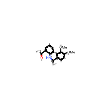 CCCC(=O)c1ccccc1NC(CCC)c1ccc(OC)c(OC)c1